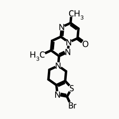 Cc1cc(=O)n2nc(N3CCc4nc(Br)sc4C3)c(C)cc2n1